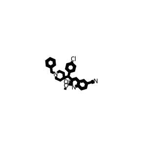 COc1nc2ccc(C#N)cc2cc1C(c1ccc(Cl)cc1)C1(O)CCN(Cc2ccccc2)CC1